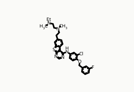 CCN(C)CCN(C)CCc1ccc2c(c1)sc1ncnc(Nc3ccc(OCc4cccc(F)c4)c(Cl)c3)c12